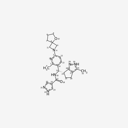 Cc1nc(N2CC3(CCCO3)C2)ccc1C(NC(=O)c1cn[nH]c1)[C@H]1CCc2c1n[nH]c2C